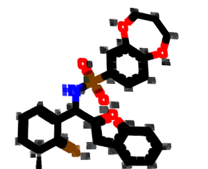 C[C@@H]1C=CC=C(C(NS(=O)(=O)c2ccc3c(c2)OCCCO3)c2cc3ccccc3o2)C1=S